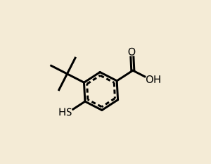 CC(C)(C)c1cc(C(=O)O)ccc1S